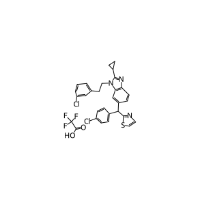 Clc1ccc(C(c2ccc3nc(C4CC4)n(CCc4cccc(Cl)c4)c3c2)c2nccs2)cc1.O=C(O)C(F)(F)F